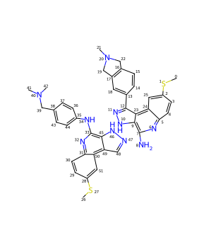 CSc1ccc2nc(N)c3[nH]nc(-c4ccc5c(c4)CN(C)C5)c3c2c1.CSc1ccc2nc(Nc3ccc(CN(C)C)cc3)c3[nH]ncc3c2c1